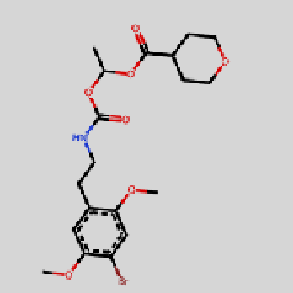 COc1cc(CCNC(=O)OC(C)OC(=O)C2CCOCC2)c(OC)cc1Br